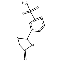 CS(=O)(=O)c1cccc(C2NC(=O)CS2)c1